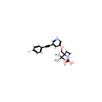 CC(C)(C)C1(COc2cncc(C#Cc3ccc(F)cc3)c2)CCN1C(=O)O